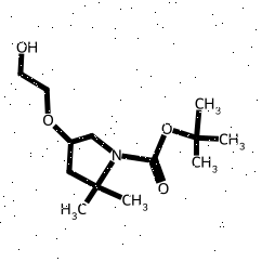 CC(C)(C)OC(=O)N1CC(OCCO)CC1(C)C